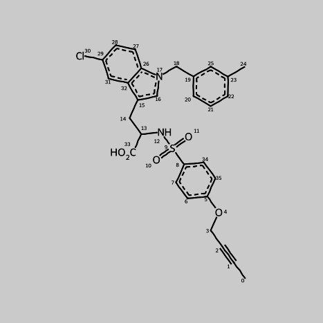 CC#CCOc1ccc(S(=O)(=O)NC(Cc2cn(Cc3cccc(C)c3)c3ccc(Cl)cc23)C(=O)O)cc1